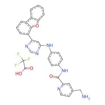 NCc1ccnc(C(=O)Nc2ccc(Nc3cc(-c4cccc5c4oc4ccccc45)ncn3)cc2)c1.O=C(O)C(F)(F)F